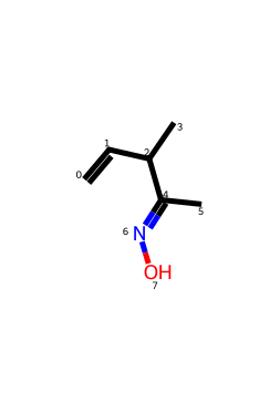 C=CC(C)C(C)=NO